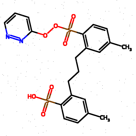 Cc1ccc(S(=O)(=O)O)c(CCCc2cc(C)ccc2S(=O)(=O)OOc2cccnn2)c1